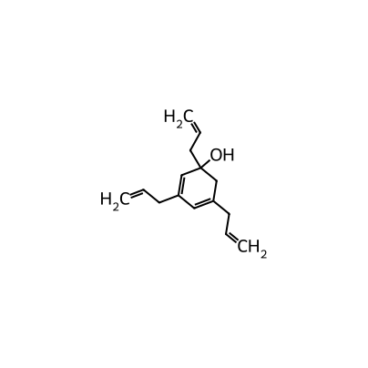 C=CCC1=CC(O)(CC=C)CC(CC=C)=C1